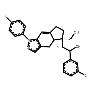 C[C@]12Cc3cnn(-c4ccc(F)cc4)c3C=C1CC[C@@]2(CO)CC(O)c1cccc(Cl)c1